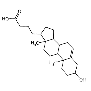 CC12CCC(O)CC1=CCC1C2CCC2(C)C(CCCC(=O)O)CCC12